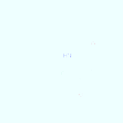 O=C(Cl)C1(C(=O)NCc2ccccc2)CC1